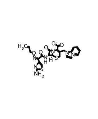 C=CCO/N=C(\C(=O)N[C@@H]1C(=O)N2C(C(=O)[O-])=C(Cn3cc[n+]4ccccc34)CS[C@@H]12)c1csc(N)n1